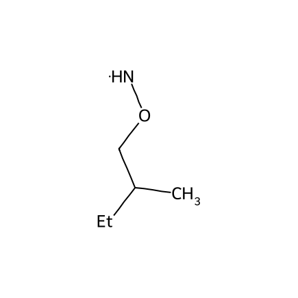 CCC(C)CO[NH]